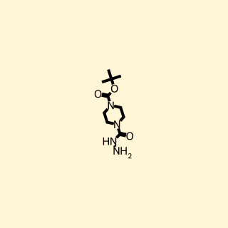 CC(C)(C)OC(=O)N1CCN(C(=O)NN)CC1